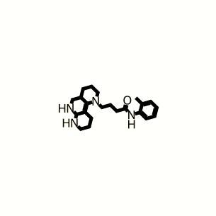 Cc1ccccc1NC(=O)CCCN1CCCC2CNC3NCCCC3=C21